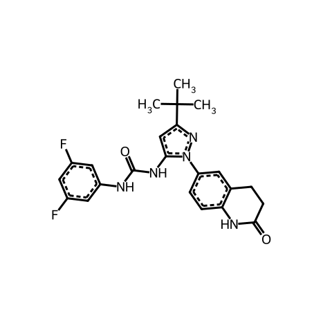 CC(C)(C)c1cc(NC(=O)Nc2cc(F)cc(F)c2)n(-c2ccc3c(c2)CCC(=O)N3)n1